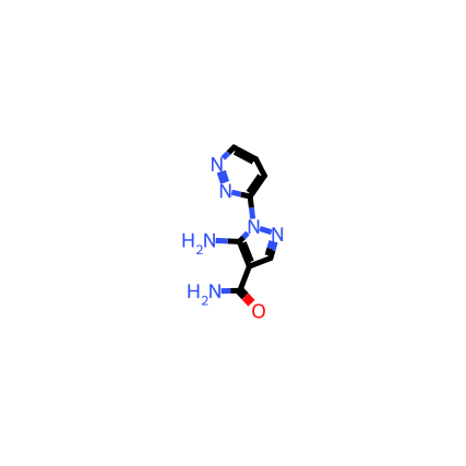 NC(=O)c1cnn(-c2cccnn2)c1N